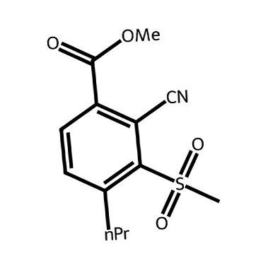 CCCc1ccc(C(=O)OC)c(C#N)c1S(C)(=O)=O